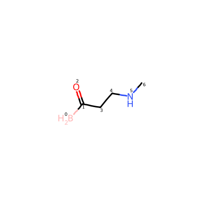 BC(=O)CCNC